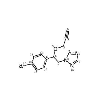 C#CCOC(Cn1cncn1)c1ccc(Br)cc1